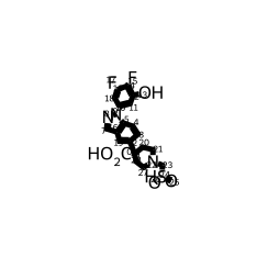 O=C(O)C1(c2ccc3c(cnn3-c3cc(O)c(F)c(F)c3)c2)CCN(C[SH](=O)=O)CC1